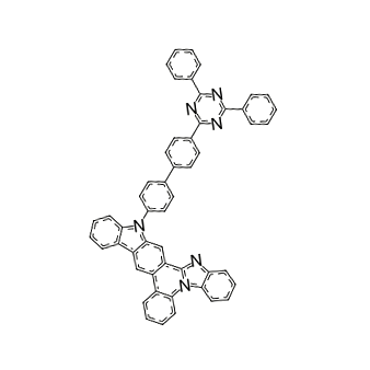 c1ccc(-c2nc(-c3ccccc3)nc(-c3ccc(-c4ccc(-n5c6ccccc6c6cc7c8ccccc8n8c9ccccc9nc8c7cc65)cc4)cc3)n2)cc1